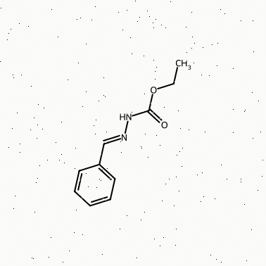 CCOC(=O)NN=Cc1ccccc1